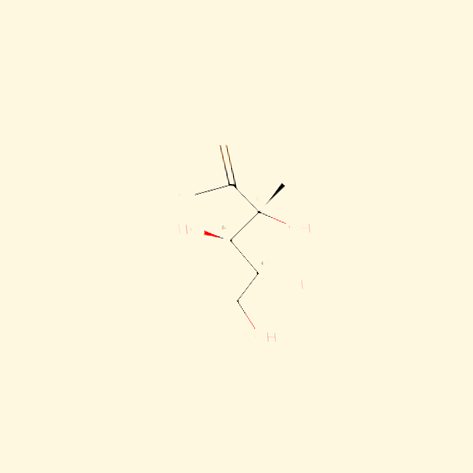 [2H]C(=S)[C@](C)(O)[C@H](O)[C@H](O)CO